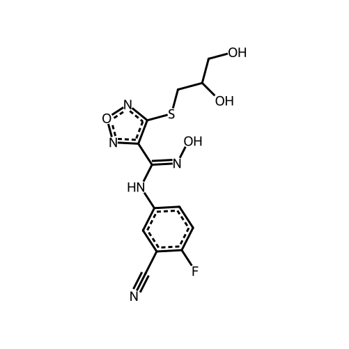 N#Cc1cc(NC(=NO)c2nonc2SCC(O)CO)ccc1F